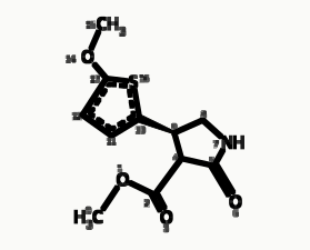 COC(=O)C1C(=O)NC[C@@H]1c1ccc(OC)s1